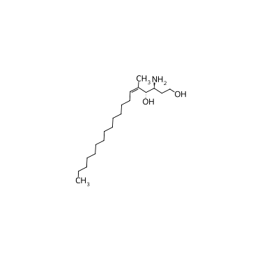 CCCCCCCCCCCCCC=C(C)[C@@H](O)[C@@H](N)CCO